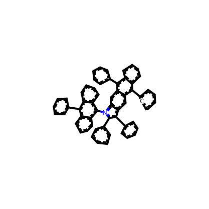 c1ccc(-c2c3ccccc3c(-c3ccccc3)c3cc4c(cc23)c(-c2ccccc2)c(-c2ccccc2)n4-c2c3ccccc3c(-c3ccccc3)c3ccccc23)cc1